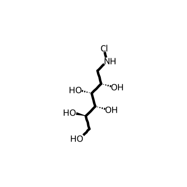 OC[C@@H](O)[C@@H](O)[C@H](O)[C@@H](O)CNCl